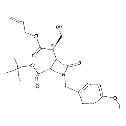 C=CCOC(=O)[C@@H](CO)C1C(=O)N(Cc2ccc(OC)cc2)C1C(=O)OC(C)(C)C